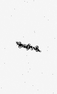 CCOC(=O)CCSCC1CSC(CSCCC(=O)OCC)CS1